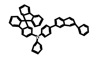 c1ccc(-c2ccc3ccc(-c4ccc(N(c5ccccc5)c5ccc6c(c5)C5(c7ccccc7-c7ccccc75)c5ccccc5-6)cc4)cc3c2)cc1